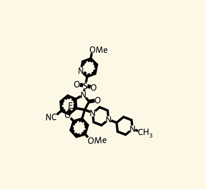 CCOc1ccc(OC)cc1C1(N2CCN(C3CCN(C)CC3)CC2)C(=O)N(S(=O)(=O)c2ccc(OC)cn2)c2ccc(C#N)cc21